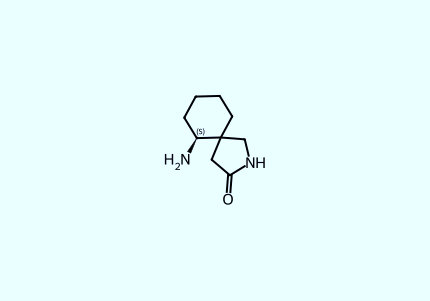 N[C@H]1CCCCC12CNC(=O)C2